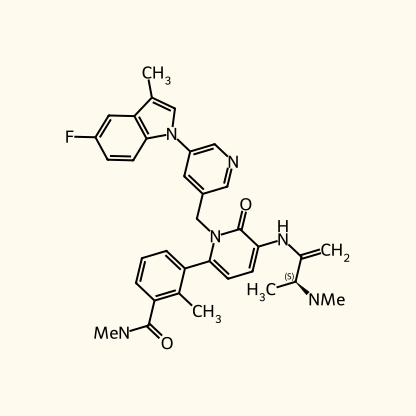 C=C(Nc1ccc(-c2cccc(C(=O)NC)c2C)n(Cc2cncc(-n3cc(C)c4cc(F)ccc43)c2)c1=O)[C@H](C)NC